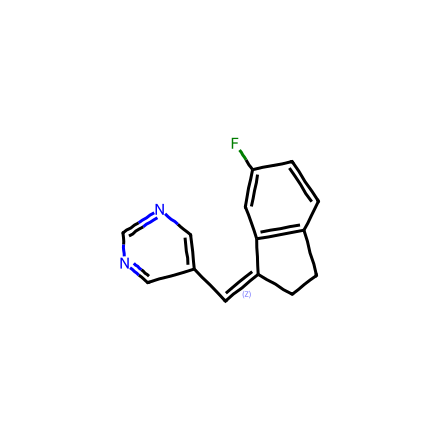 Fc1ccc2c(c1)/C(=C\c1cncnc1)CC2